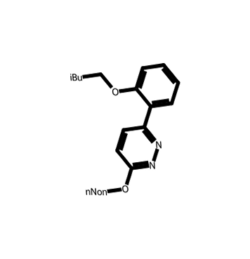 CCCCCCCCCOc1ccc(-c2ccccc2OCC(C)CC)nn1